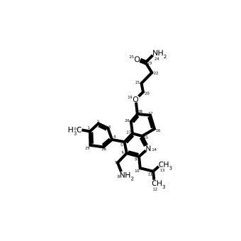 Cc1ccc(-c2c(CN)c(CC(C)C)nc3ccc(OCCCC(N)=O)cc23)cc1